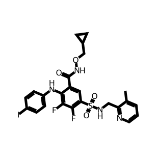 Cc1cccnc1CNS(=O)(=O)c1cc(C(=O)NOCC2CC2)c(Nc2ccc(I)cc2)c(F)c1F